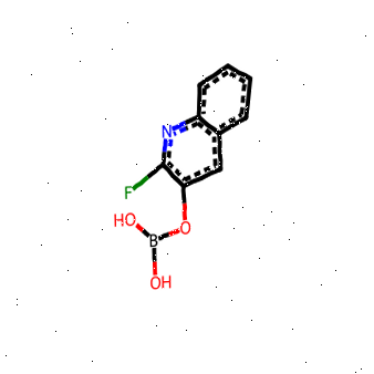 OB(O)Oc1cc2ccccc2nc1F